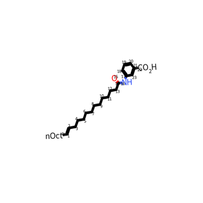 CCCCCCCCC=CCCCCCCCCCCCC(=O)Nc1cccc(C(=O)O)c1